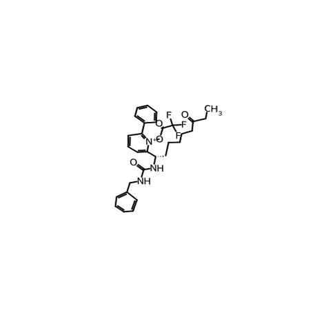 CCC(=O)CCCCC[C@H](NC(=O)NCc1ccccc1)c1cccc(-c2ccccc2)[n+]1OC(=O)C(F)(F)F